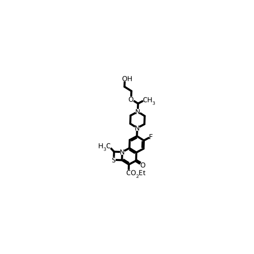 CCOC(=O)c1c2n(c3cc(N4CCN(C(C)OCCO)CC4)c(F)cc3c1=O)C(C)S2